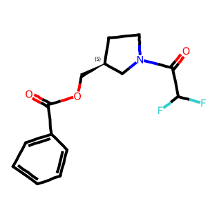 O=C(OC[C@H]1CCN(C(=O)C(F)F)C1)c1ccccc1